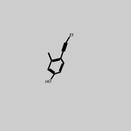 CCC#Cc1ccc(O)cc1C